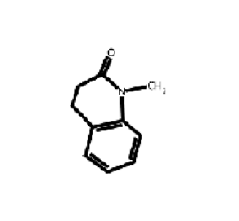 CN1C(=O)CCc2[c]cccc21